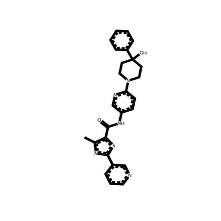 Cc1nc(-c2cccnc2)sc1C(=O)Nc1ccc(N2CCC(O)(c3ccccc3)CC2)nc1